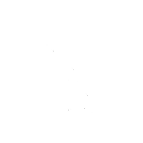 CC(C)CC1(CN2CCC(F)(CN3CC4(CCN(C)CC4)C3)CC2)CC1